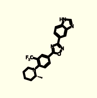 C[C@@H]1CCCCN1c1ccc(-c2nc(-c3ccc4[nH]cnc4c3)no2)cc1C(F)(F)F